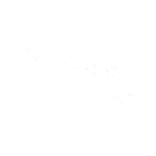 N#Cc1c(NS(=O)(=O)C2CCC2)ccc(F)c1Oc1ccc2ncn(-c3cnc(N4CCN(C(=O)CN5CCC(c6ccc(N[C@@H]7CCC(=O)NC7=O)cc6F)CC5)CC4)nc3)c(=O)c2c1